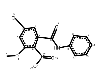 COc1cc(Cl)cc(C(=O)Nc2ccccc2)c1[N+](=O)[O-]